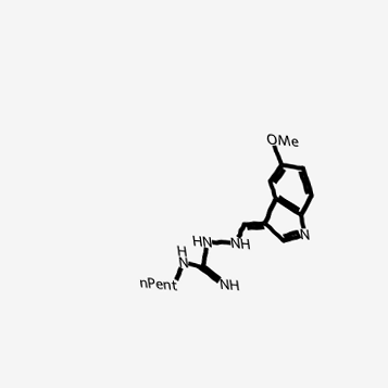 CCCCCNC(=N)NN/C=C1\C=Nc2ccc(OC)cc21